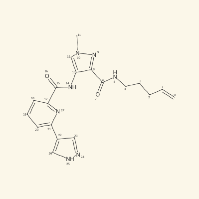 C=CCCCNC(=O)c1nn(C)cc1NC(=O)c1cccc(-c2cn[nH]c2)n1